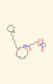 O=C(CCCC(=O)ON1C(=O)CCC1=O)NC1CCCCCCCCCC(CCCCCCCC23CCCCCCC2C3)CC1